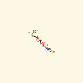 C[S@+]([O-])CCOCCOCCN=C=S